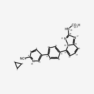 C1CC1.N#Cc1ccc(-c2ccc(-c3cccc4nc(NC(=O)O)nn34)cc2)cn1